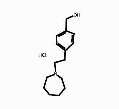 Cl.OCc1ccc(CCN2CCCCCC2)cc1